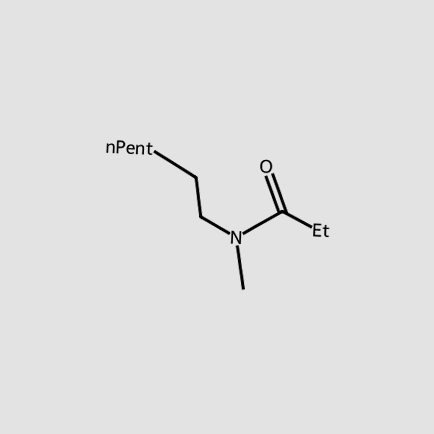 CCCCCCCN(C)C(=O)CC